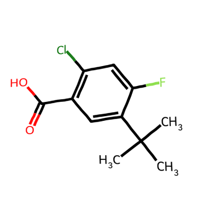 CC(C)(C)c1cc(C(=O)O)c(Cl)cc1F